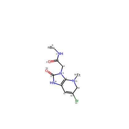 CCCCNC(=O)Cn1c2c([nH]c1=O)C=C(Br)CN2CC